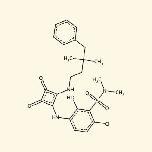 CN(C)S(=O)(=O)c1c(Cl)ccc(Nc2c(NCCC(C)(C)Cc3ccccc3)c(=O)c2=O)c1O